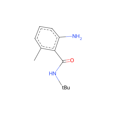 Cc1cccc(N)c1C(=O)NC(C)(C)C